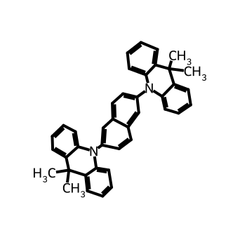 CC1(C)c2ccccc2N(c2ccc3cc(N4c5ccccc5C(C)(C)c5ccccc54)ccc3c2)c2ccccc21